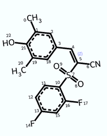 Cc1cc(/C=C(/C#N)S(=O)(=O)c2ccc(F)cc2F)cc(C)c1O